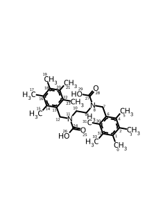 Cc1c(C)c(C)c(CN(CCN(Cc2c(C)c(C)c(C)c(C)c2C)C(=O)O)C(=O)O)c(C)c1C